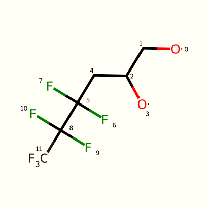 [O]CC([O])CC(F)(F)C(F)(F)C(F)(F)F